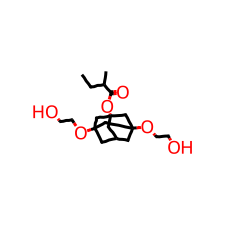 CCC(C)C(=O)OC12CC3CC(OCCO)(CC(OCCO)(C3)C1)C2